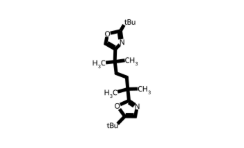 CC(C)(C)c1cnc(C(C)(C)CCC(C)(C)c2coc(C(C)(C)C)n2)o1